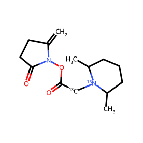 C=C1CCC(=O)N1OC(=O)[13CH2][15N]1C(C)CCCC1C